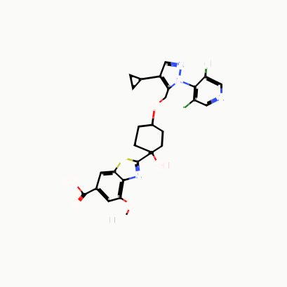 COc1cc(C(=O)O)cc2sc(C3(O)CCC(OCc4c(C5CC5)cnn4-c4c(Cl)cncc4Cl)CC3)nc12